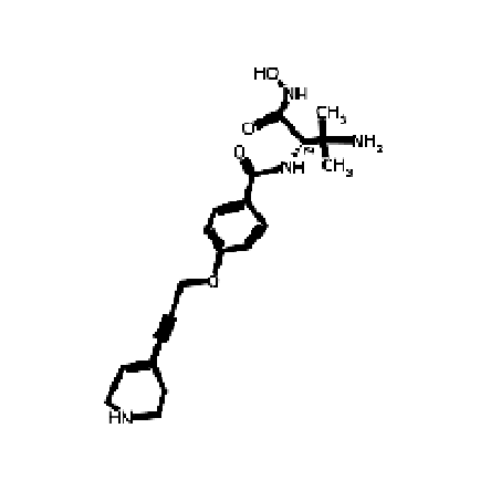 CC(C)(N)[C@H](NC(=O)c1ccc(OCC#CC2=CCNCC2)cc1)C(=O)NO